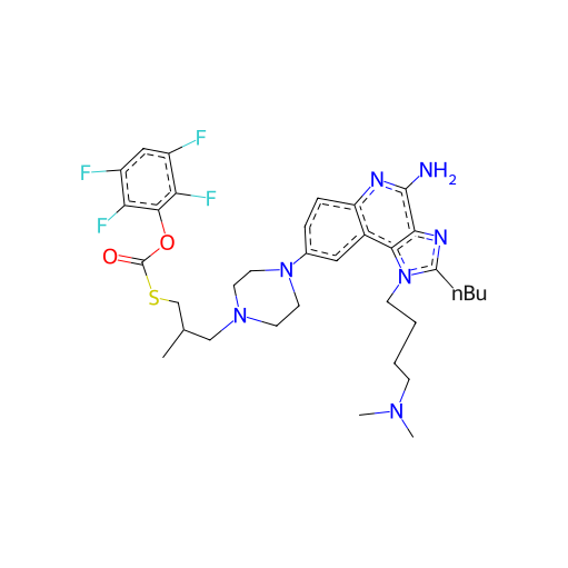 CCCCc1nc2c(N)nc3ccc(N4CCN(CC(C)CSC(=O)Oc5c(F)c(F)cc(F)c5F)CC4)cc3c2n1CCCCN(C)C